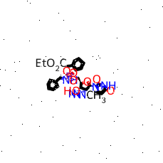 CCOC(=O)C(OP(=O)(NCc1ccccc1)OC[C@H]1O[C@@H](n2ccc(=O)[nH]c2=O)[C@](C)(N=[N+]=[N-])[C@@H]1O)c1ccccc1